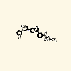 N=C/C(=C\NC1CCCNC1)c1ccn2c(-c3cccc(NC(=O)NCC(F)(F)F)c3)cnc2c1